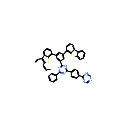 C=Cc1c(/C=C\C)sc2c(-c3cc(-c4nc(-c5ccccc5)nc(-c5ccc(-c6ncncn6)cc5)n4)cc(-c4cccc5c4sc4ccccc45)c3)cccc12